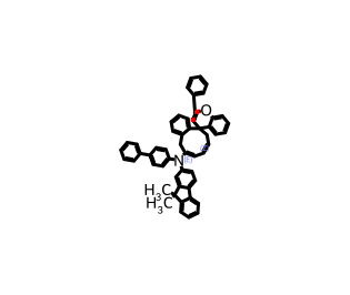 CC1(C)c2ccccc2-c2ccc(N(/C3=C/C=C\CC4(c5ccccc5C3)c3ccccc3Oc3c(-c5ccccc5)cccc34)c3ccc(-c4ccccc4)cc3)cc21